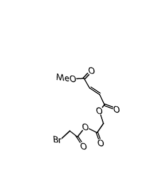 COC(=O)C=CC(=O)OCC(=O)OC(=O)CBr